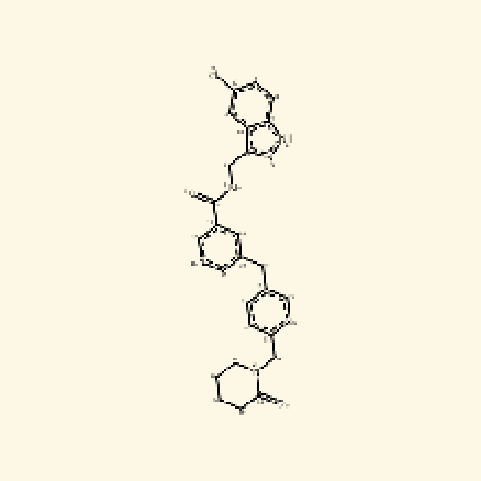 O=C(NCc1n[nH]c2ccc(Cl)cc12)c1cncc(Cc2ccc(CN3CCCCC3=O)cc2)c1